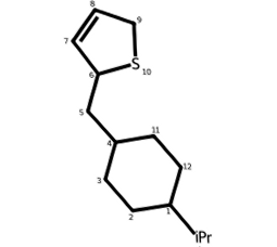 CC(C)C1CCC(CC2C=CCS2)CC1